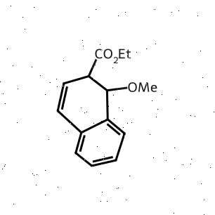 CCOC(=O)C1C=Cc2ccccc2C1OC